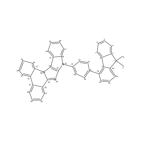 CC1(C)c2ccccc2-c2c(-c3ccc(-n4c5ccccc5c5c4nc4c6ccccc6c6ccccc6n45)cc3)cccc21